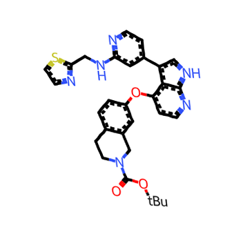 CC(C)(C)OC(=O)N1CCc2ccc(Oc3ccnc4[nH]cc(-c5ccnc(NCc6nccs6)c5)c34)cc2C1